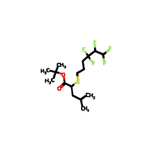 CC(C)CC(SCCCC(F)(F)C(F)C(F)F)C(=O)OC(C)(C)C